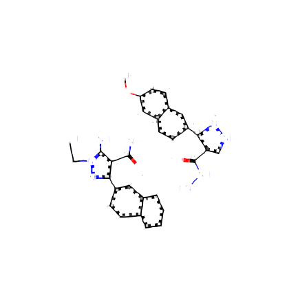 CCn1nc(-c2ccc3ccccc3c2)c(C(N)=O)c1N.COc1ccc2cc(-c3n[nH]cc3C(=O)NN)ccc2c1